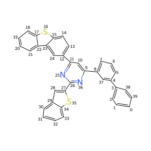 c1ccc(-c2cccc(-c3cc(-c4ccc5sc6ccccc6c5c4)nc(-c4cc5ccccc5s4)n3)c2)cc1